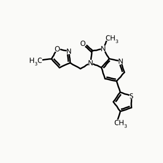 Cc1csc(-c2cnc3c(c2)n(Cc2cc(C)on2)c(=O)n3C)c1